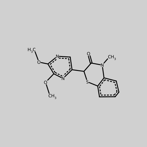 COc1ncc(C2Sc3ccccc3N(C)C2=O)nc1OC